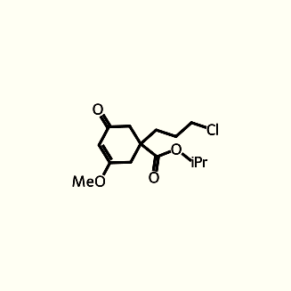 COC1=CC(=O)CC(CCCCl)(C(=O)OC(C)C)C1